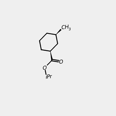 CC(C)OC(=O)[C@H]1CCC[C@@H](C)C1